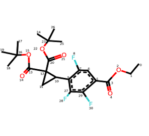 CCOC(=O)c1cc(F)c(C2CC2(C(=O)OC(C)(C)C)C(=O)OC(C)(C)C)c(F)c1F